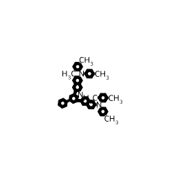 Cc1ccc(N(c2ccc3cc4c5cc(-c6ccccc6)cc6c7cc8ccc(N(c9ccc(C)cc9)c9cc(C)ccc9C)cc8cc7n(c4cc3c2)c56)c2cc(C)ccc2C)cc1